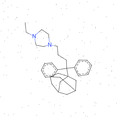 CCN1CCN(CCCC(c2ccccc2)(c2ccccc2)C23CC4CC(CC(C4)C2)C3)CC1